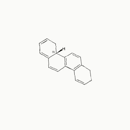 C1=CC[C@H]2C(=C1)C=Cc1c2ccc2c1C=CCC2